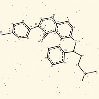 CN(C)CCC(Oc1ccc2occ(-c3ccc(Cl)cc3)c(=O)c2c1)c1ccccc1